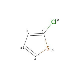 Clc1c[c]cs1